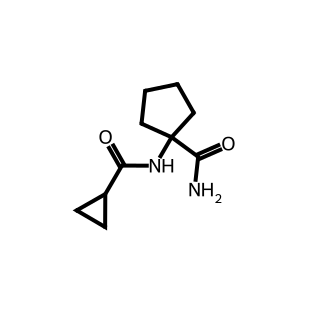 NC(=O)C1(NC(=O)C2CC2)CCCC1